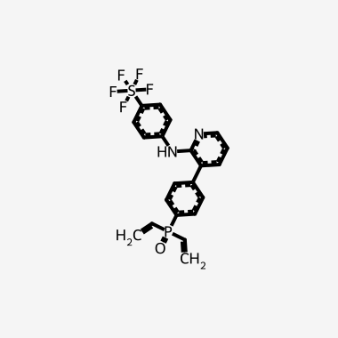 C=CP(=O)(C=C)c1ccc(-c2cccnc2Nc2ccc(S(F)(F)(F)(F)F)cc2)cc1